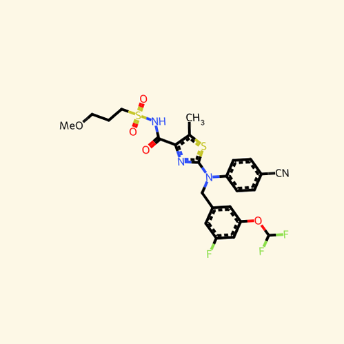 COCCCS(=O)(=O)NC(=O)c1nc(N(Cc2cc(F)cc(OC(F)F)c2)c2ccc(C#N)cc2)sc1C